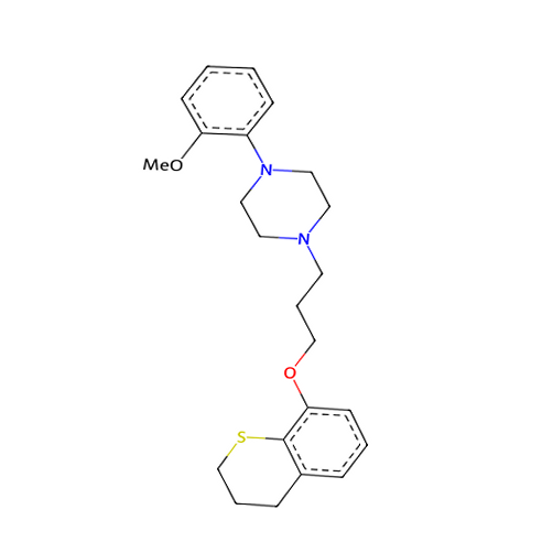 COc1ccccc1N1CCN(CCCOc2cccc3c2SCCC3)CC1